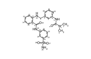 CN(C)C(=O)Nc1cc(CNc2ccccc2C(=O)Nc2cccc(S(N)(=O)=O)c2)ccn1